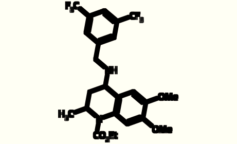 CCOC(=O)N1c2cc(OC)c(OC)cc2C(NCc2cc(C(F)(F)F)cc(C(F)(F)F)c2)CC1C